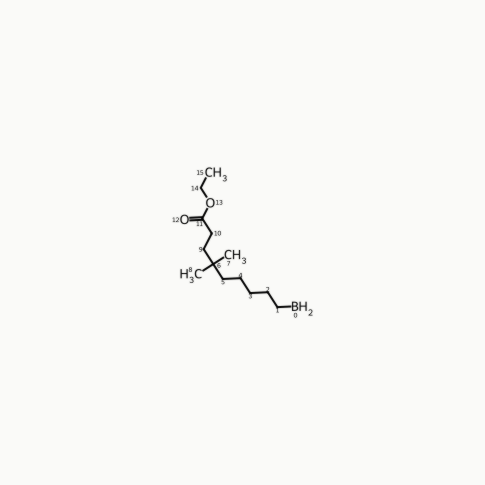 BCCCCCC(C)(C)CCC(=O)OCC